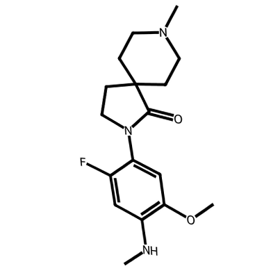 CNc1cc(F)c(N2CCC3(CCN(C)CC3)C2=O)cc1OC